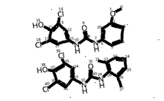 COc1cccc(NC(=O)Nc2cc(Cl)c(O)c(Cl)c2)c1.Cc1cccc(C)c1NC(=O)Nc1cc(Cl)c(O)c(Cl)c1